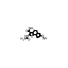 CCCOc1ccc2c(c1)CCc1c-2sc(NC(N)=O)c1C(N)=O